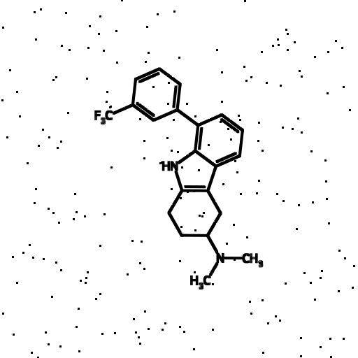 CN(C)C1CCc2[nH]c3c(-c4cccc(C(F)(F)F)c4)cccc3c2C1